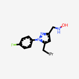 CC(C)Cc1cc(CNO)nn1-c1ccc(F)cc1